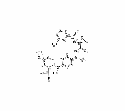 COc1ccc(Oc2ccc([C@@H](C)NC(=O)C3(NC(=O)c4ccnc(O)c4)CC3)nc2)c(C(F)(F)F)c1